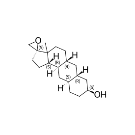 CC12CC[C@@H]3C[C@@H]4C[C@@H](O)CC[C@H]4C[C@H]3[C@@H]1CC[C@@]21CO1